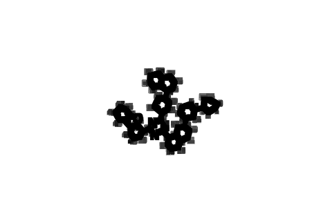 c1ccc(-c2cccc(-c3ccc4cccc(-c5nc(-c6ccc(-c7cccc8ccccc78)cc6)nc(-c6cccc7c6oc6ccccc67)n5)c4c3)c2)cc1